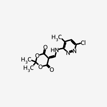 Cc1cc(Cl)nnc1NC=C1C(=O)OC(C)(C)OC1=O